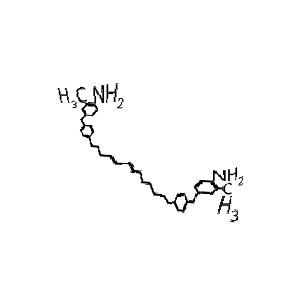 Cc1cc(Cc2ccc(CCCCCCCCCCCCCc3ccc(Cc4ccc(N)c(C)c4)cc3)cc2)ccc1N